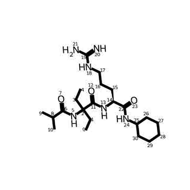 CCC(CC)(NC(=O)C(C)C)C(=O)N[C@@H](CCCNC(=N)N)C(=O)NC1CCCCC1